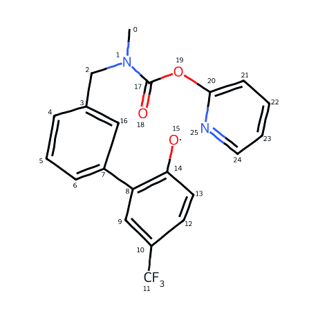 CN(Cc1cccc(-c2cc(C(F)(F)F)ccc2[O])c1)C(=O)Oc1ccccn1